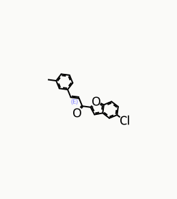 Cc1cccc(/C=C/C(=O)c2cc3cc(Cl)ccc3o2)c1